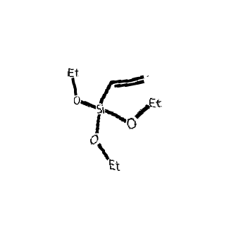 [CH]=C[Si](OCC)(OCC)OCC